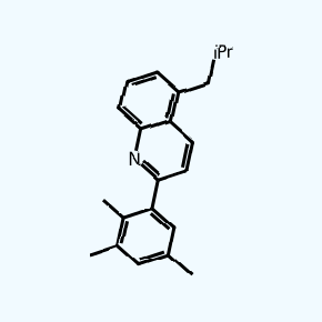 Cc1cc(C)c(C)c(-c2ccc3c(CC(C)C)cccc3n2)c1